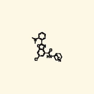 CN(C)c1ccccc1-c1nc2c(C(=O)NC3CN4CCC3CC4)cc(Cl)cc2o1